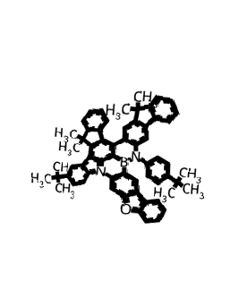 CC(C)(C)c1ccc(N2B3c4cc5c(cc4-n4c6ccc(C(C)(C)C)cc6c6c7c(c(c3c64)-c3cc4c(cc32)-c2ccccc2C4(C)C)-c2ccccc2C7(C)C)oc2ccccc25)cc1